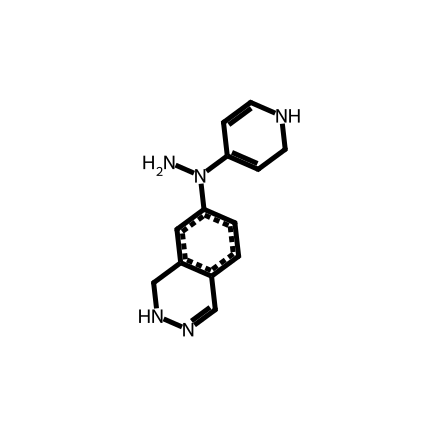 NN(C1=CCNC=C1)c1ccc2c(c1)CNN=C2